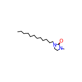 CCCCCCCCCCCCN1CCN(C)C1=O